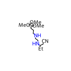 CCC(CC#N)NCCNCCC[Si](OC)(OC)OC